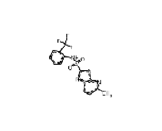 Cc1ccn2nc(S(=O)(=O)Nc3ccccc3C(F)(F)F)nc2n1